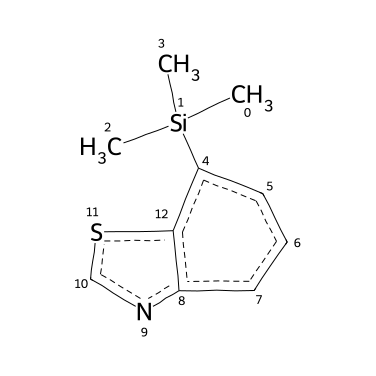 C[Si](C)(C)c1cccc2ncsc12